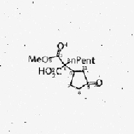 CCCCCC(C(=O)O)(C(=O)OC)C1CCC(=O)C1